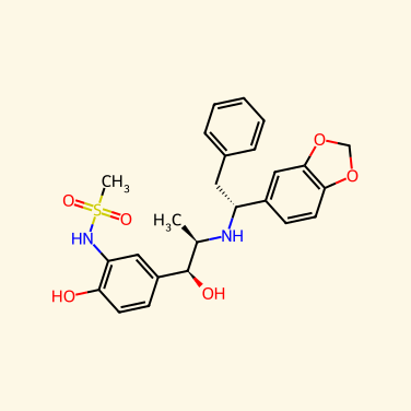 C[C@@H](N[C@H](Cc1ccccc1)c1ccc2c(c1)OCO2)[C@@H](O)c1ccc(O)c(NS(C)(=O)=O)c1